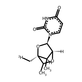 [2H]C[C@@]12O[C@@H](n3ccc(=O)[nH]c3=O)[C@@H](OC1C)[C@H]2C